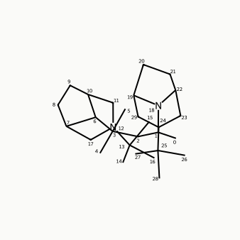 CC(CC(C)(C)C1C2CCC1CN(C(C)(C)C)C2)N1C2CCC1CC(C(C)(C)C)C2